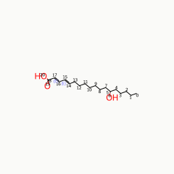 CCCCCC(O)CCCCCCC/C=C/C=C/C(=O)O